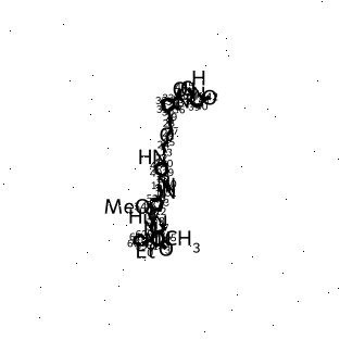 CC[C@@H]1C(=O)N(C)c2cnc(Nc3ccc(-c4cn([C@H]5CC[C@@H](NCCCOCC#Cc6cccc7c6CN(C6CCC(=O)NC6=O)C7=O)CC5)nn4)cc3OC)nc2N1C1CCCC1